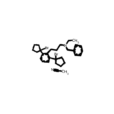 CC#N.CCN(CCCc1c(C2(Br)CCCC2)cccc1C1(Br)CCCC1)Cc1ccccc1